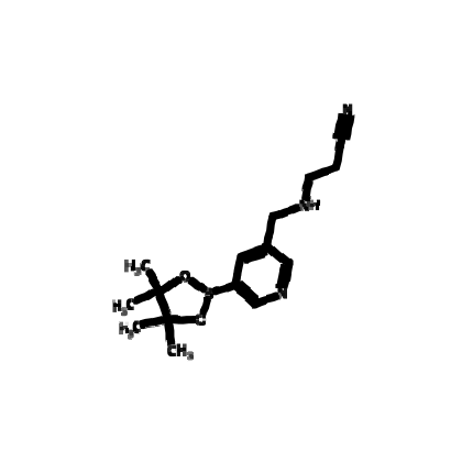 CC1(C)OB(c2cncc(CNCCC#N)c2)OC1(C)C